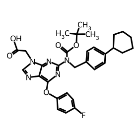 CC(C)(C)OC(=O)N(Cc1ccc(C2CCCCC2)cc1)c1nc(Oc2ccc(F)cc2)c2ncn(CC(=O)O)c2n1